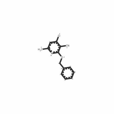 Cc1cc(Cl)c(C#N)c(OCc2ccccc2)n1